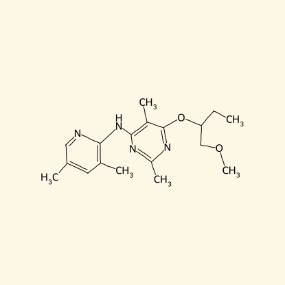 CCC(COC)Oc1nc(C)nc(Nc2ncc(C)cc2C)c1C